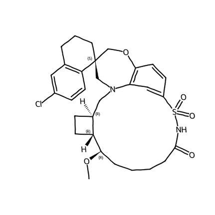 CO[C@@H]1CCCCC(=O)NS(=O)(=O)c2ccc3c(c2)N(C[C@@H]2CC[C@H]21)C[C@@]1(CCCc2cc(Cl)ccc21)CO3